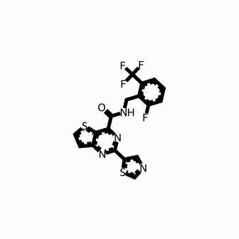 O=C(NCc1c(F)cccc1C(F)(F)F)c1nc(-c2cncs2)nc2ccsc12